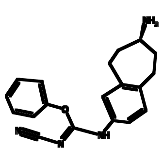 N#CN=C(Nc1ccc2c(c1)CC[C@@H](N)CC2)Oc1ccccc1